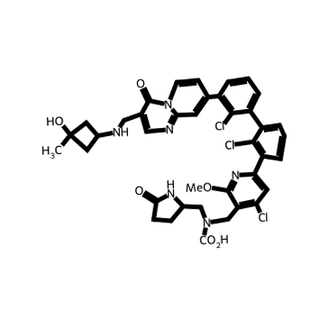 COc1nc(-c2cccc(-c3cccc(-c4ccn5c(=O)c(CNC6CC(C)(O)C6)cnc5c4)c3Cl)c2Cl)cc(Cl)c1CN(CC1CCC(=O)N1)C(=O)O